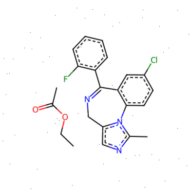 CCOC(C)=O.Cc1ncc2n1-c1ccc(Cl)cc1C(c1ccccc1F)=NC2